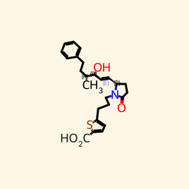 C[C@H](CCc1ccccc1)[C@@H](O)/C=C/[C@H]1CCC(=O)N1CCCc1ccc(C(=O)O)s1